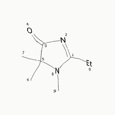 CCC1=NC(=O)C(C)(C)N1C